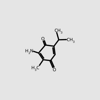 CC1=C(N)C(=O)C(C(C)C)=CC1=O